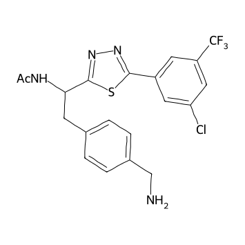 CC(=O)NC(Cc1ccc(CN)cc1)c1nnc(-c2cc(Cl)cc(C(F)(F)F)c2)s1